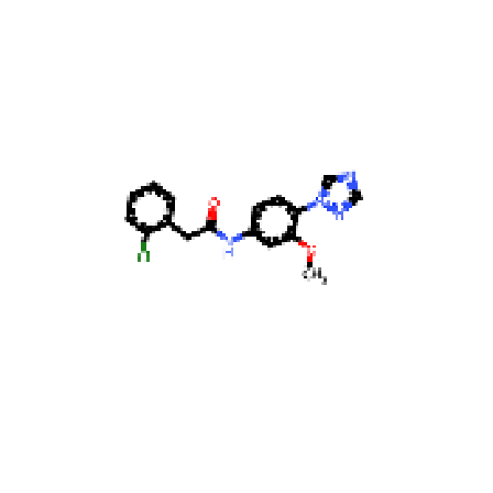 COc1cc(NC(=O)Cc2ccccc2Cl)ccc1-n1cncn1